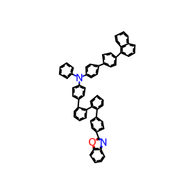 c1ccc(N(c2ccc(-c3ccc(-c4cccc5ccccc45)cc3)cc2)c2ccc(-c3ccccc3-c3ccccc3-c3ccc(-c4nc5ccccc5o4)cc3)cc2)cc1